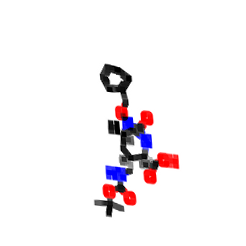 CC(C)(C)OC(=O)NC[C@@H]1C[C@@H]2CN(C(=O)N2OCc2ccccc2)[C@@H]1C(=O)O